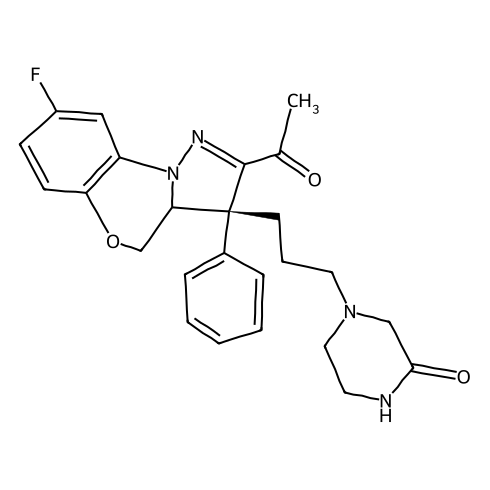 CC(=O)C1=NN2c3cc(F)ccc3OCC2[C@@]1(CCCN1CCNC(=O)C1)c1ccccc1